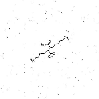 CCCCCCC(C(=O)O)C(CCCCCC)C(=O)O